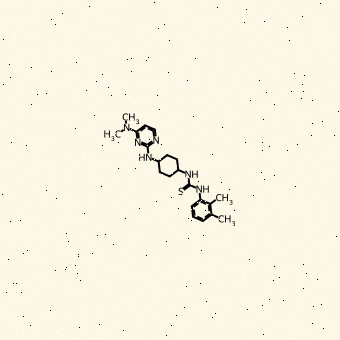 Cc1cccc(NC(=S)NC2CCC(Nc3nccc(N(C)C)n3)CC2)c1C